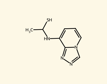 CC(S)Nc1cccn2cnnc12